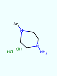 CC(=O)N1CCN(N)CC1.Cl.Cl